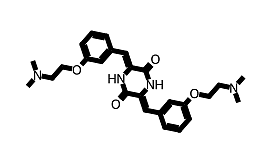 CN(C)CCOc1cccc(/C=c2\[nH]c(=O)/c(=C/c3cccc(OCCN(C)C)c3)[nH]c2=O)c1